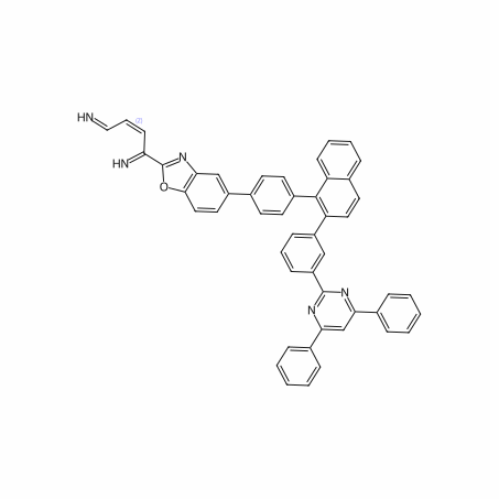 N=C/C=C\C(=N)c1nc2cc(-c3ccc(-c4c(-c5cccc(-c6nc(-c7ccccc7)cc(-c7ccccc7)n6)c5)ccc5ccccc45)cc3)ccc2o1